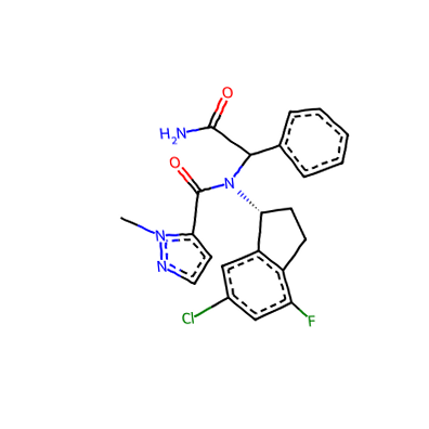 Cn1nccc1C(=O)N(C(C(N)=O)c1ccccc1)[C@@H]1CCc2c(F)cc(Cl)cc21